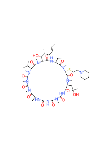 C/C=C/C[C@@H](C)[C@@H](O)[C@H]1C(=O)N[C@@H](CC)C(=O)N(C)[C@H](SCCN2CCCCC2)C(=O)N(C)[C@@H](CC(C)(C)O)C(=O)NC(=O)N(C)C(=O)NC(=O)N[C@@H](C)C(=O)N(C)C(=O)N(C)C(=O)N(C)[C@@H](C(C)C)C(=O)N1C